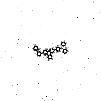 c1ccc(N(c2ccccc2)c2ccc(-c3ccc4c5ccc(-c6cccc7c6oc6ccccc67)cc5c5ccccc5c4c3)cc2)cc1